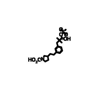 CC(C)(Cc1cccc(CCC2CCN(C(=O)O)C2)c1)[C@@H](O)OS(C)(=O)=O